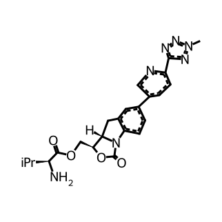 CC(C)[C@H](N)C(=O)OC[C@@H]1OC(=O)N2c3ccc(-c4ccc(-c5nnn(C)n5)nc4)cc3C[C@@H]12